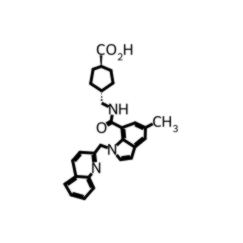 Cc1cc(C(=O)NC[C@H]2CC[C@H](C(=O)O)CC2)c2c(ccn2Cc2ccc3ccccc3n2)c1